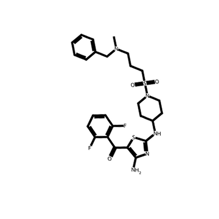 CN(CCCS(=O)(=O)N1CCC(Nc2nc(N)c(C(=O)c3c(F)cccc3F)s2)CC1)Cc1ccccc1